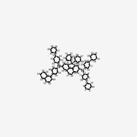 c1ccc(-c2ccc(N(c3ccc(-c4ccccc4)cc3)c3cc4c5c(ccc6cc(N(c7ccc(-c8ccccc8)cc7)c7ccc(-c8cccc9ccccc89)cc7)cc(c65)C4(c4ccccc4)c4ccccc4)c3)cc2)cc1